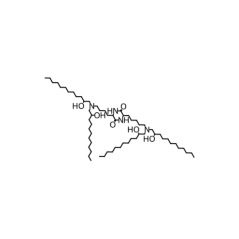 CCCCCCCCCCC(O)CN(CCCCCC1NC(=O)C(CCCCN(CC(O)CCCCCCCCCC)CC(O)CCCCCCCCCC)NC1=O)CC(O)CCCCCCCCCC